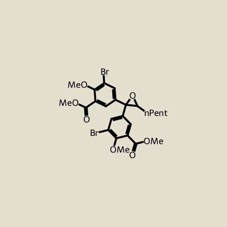 CCCCCC1OC1(c1cc(Br)c(OC)c(C(=O)OC)c1)c1cc(Br)c(OC)c(C(=O)OC)c1